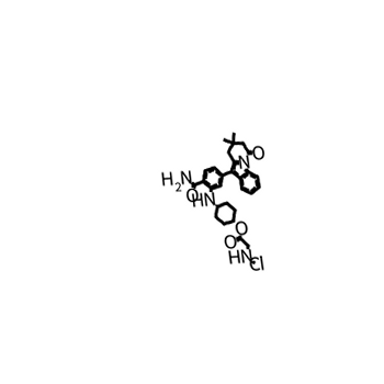 CC1(C)CC(=O)n2c(c(-c3ccc(C(N)=O)c(N[C@H]4CC[C@H](OC(=O)CNCl)CC4)c3)c3ccccc32)C1